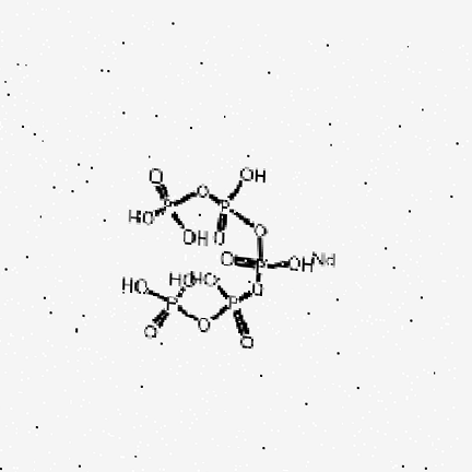 O=P(O)(O)OP(=O)(O)OP(=O)(O)OP(=O)(O)OP(=O)(O)O.[Nd]